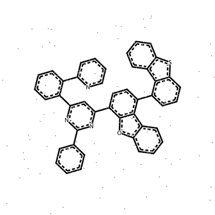 c1ccc(-c2nc(-c3ccccc3-c3ccccn3)cc(-c3ccc(-c4cccc5sc6ccccc6c45)c4c3oc3ccccc34)n2)cc1